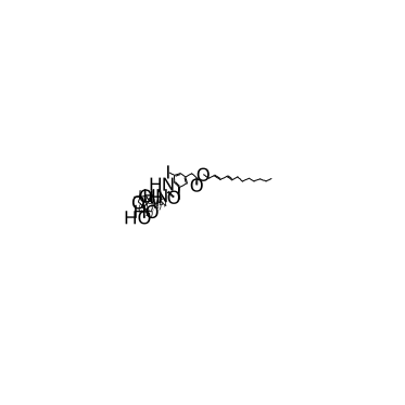 CCCCCCCC=CC=CCOC(=O)Cc1cc(I)c(NC(=O)N[C@@H](C)[C@H]2O[C@H](O)[C@H]3OC(C)(C)O[C@@H]23)c(I)c1